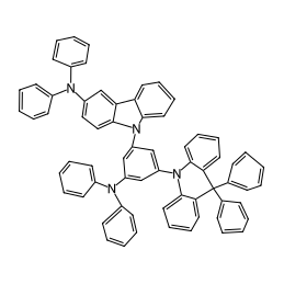 c1ccc(N(c2ccccc2)c2cc(N3c4ccccc4C(c4ccccc4)(c4ccccc4)c4ccccc43)cc(-n3c4ccccc4c4cc(N(c5ccccc5)c5ccccc5)ccc43)c2)cc1